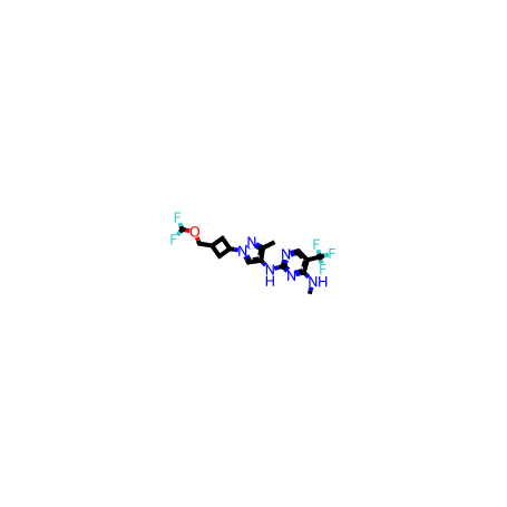 CNc1nc(Nc2cn(C3CC(COC(F)F)C3)nc2C)ncc1C(F)(F)F